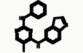 Cc1cnc(Nc2ccccc2)nc1Nc1ccc2c(c1)CC=N2